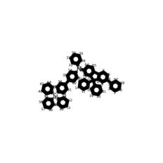 c1ccc(-c2ccc3c(c2)C(c2ccccc2)(c2ccccc2)c2cc(N(c4ccccc4)c4ccc(-c5ccc([Si](c6ccccc6)(c6ccccc6)c6ccccc6)cc5)cc4)ccc2-3)cc1